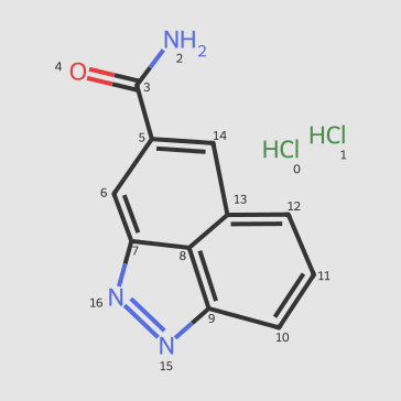 Cl.Cl.NC(=O)c1cc2c3c(cccc3c1)N=N2